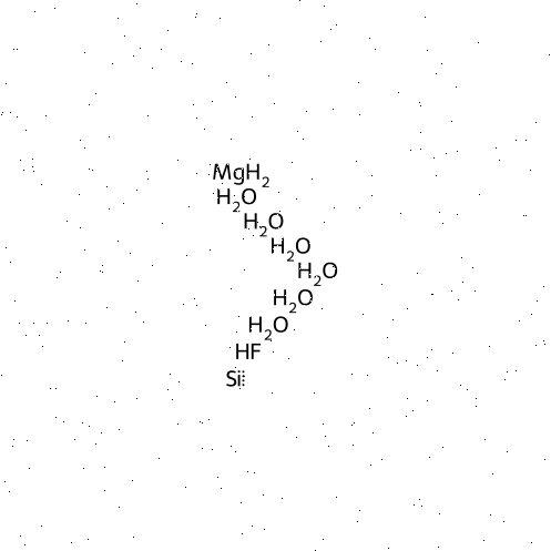 F.O.O.O.O.O.O.[MgH2].[Si]